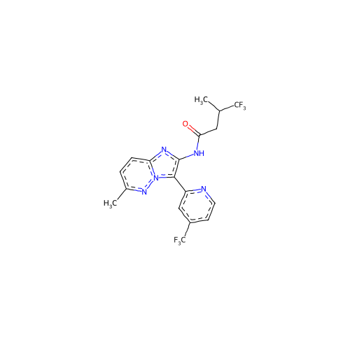 Cc1ccc2nc(NC(=O)CC(C)C(F)(F)F)c(-c3cc(C(F)(F)F)ccn3)n2n1